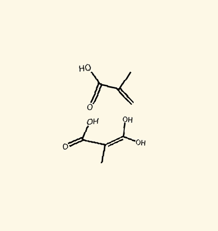 C=C(C)C(=O)O.CC(C(=O)O)=C(O)O